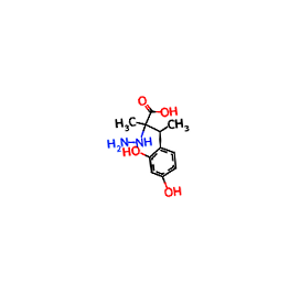 CC(c1ccc(O)cc1O)C(C)(NN)C(=O)O